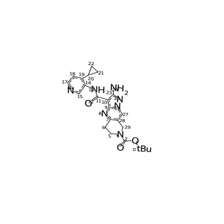 CC(C)(C)OC(=O)N1CCc2nc3c(C(=O)Nc4cnccc4C4CC4)c(N)nn3cc2C1